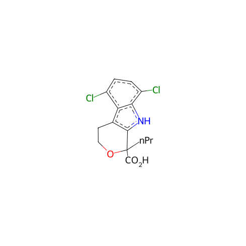 CCCC1(C(=O)O)OCCc2c1[nH]c1c(Cl)ccc(Cl)c21